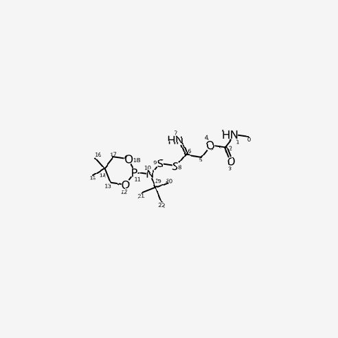 CNC(=O)OCC(=N)SSN(P1OCC(C)(C)CO1)C(C)(C)C